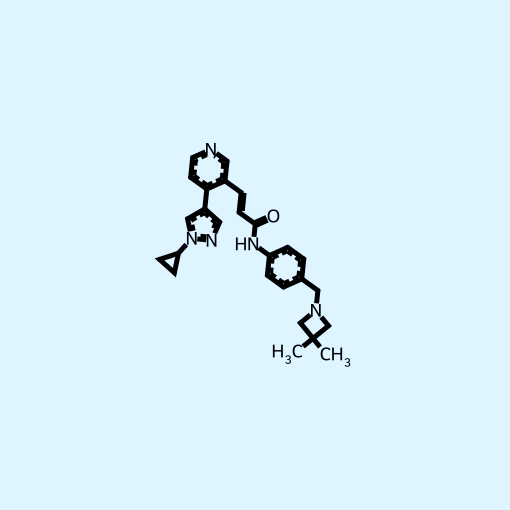 CC1(C)CN(Cc2ccc(NC(=O)/C=C/c3cnccc3-c3cnn(C4CC4)c3)cc2)C1